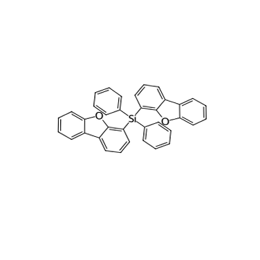 c1ccc([Si](c2ccccc2)(c2cccc3c2oc2ccccc23)c2cccc3c2oc2ccccc23)cc1